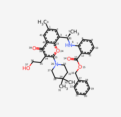 Cc1cc([C@@H](C)Nc2ccccc2C(=O)OCc2ccccc2)c2oc(N3CCC(C)(C)CC3)c(CCO)c(=O)c2c1